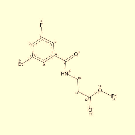 CCc1cc(F)cc(C(=O)NCCC(=O)OC(C)C)c1